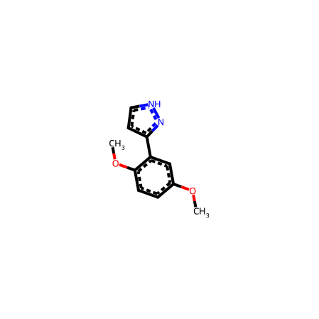 COc1ccc(OC)c(-c2cc[nH]n2)c1